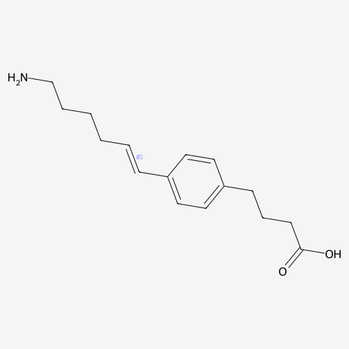 NCCCC/C=C/c1ccc(CCCC(=O)O)cc1